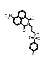 Cc1ccc(S(=O)(=O)NCCN2C(=O)c3cccc4c([N+](=O)[O-])ccc(c34)C2=O)cc1